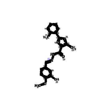 COc1ccc(/C=N/NC(=O)c2sc(-c3ccccc3C)nc2C)cc1O